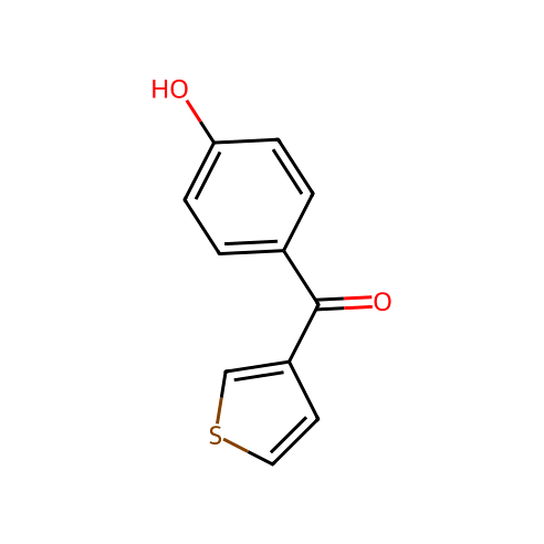 O=C(c1ccc(O)cc1)c1ccsc1